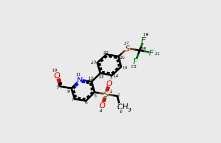 CCS(=O)(=O)c1ccc(C=O)nc1-c1ccc(SC(F)(F)F)cc1